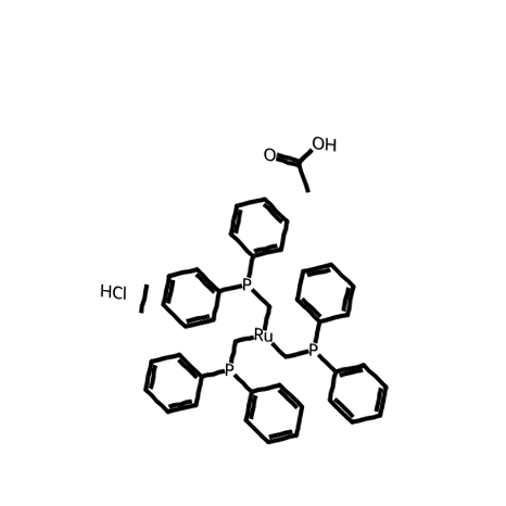 CC.CC(=O)O.Cl.c1ccc(P([CH2][Ru]([CH2]P(c2ccccc2)c2ccccc2)[CH2]P(c2ccccc2)c2ccccc2)c2ccccc2)cc1